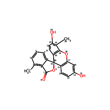 Cc1cccc2c1C(=O)O[C@@]21c2ccc(O)cc2Oc2c1ccc(O)c2C